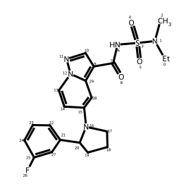 CCN(C)S(=O)(=O)NC(=O)c1cnn2ccc(N3CCCC3c3cccc(F)c3)cc12